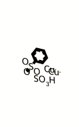 O=S(=O)(O)OS(=O)(=O)c1ccccc1.[Cu].[Cu]